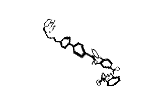 CCCCCCc1ccc(-c2ccc(-c3nc4cc(C(=O)n5n[n+]([O-])c6ccccc65)ccc4o3)cc2)cc1